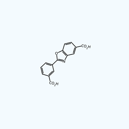 O=C(O)c1cccc(-c2nc3cc(C(=O)O)ccc3o2)c1